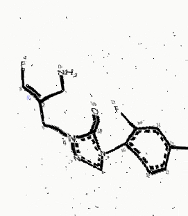 NC/C(=C\F)Cn1ncn(-c2ccc(Br)cc2F)c1=O